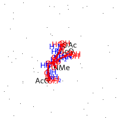 CNC(=O)CCC(=O)NC(CCCOC(=O)NCCCCCCNC(=O)CCCOC1OC(COC(C)=O)C(O)C(O)C1N)(CCCOC(=O)NCCCCCCNC(=O)CCCOC1OC(COC(C)=O)C(O)C(O)C1N)CCCOC(=O)NCCCCCCNC(=O)CCCOC1OC(COC(C)=O)C(O)C(O)C1N